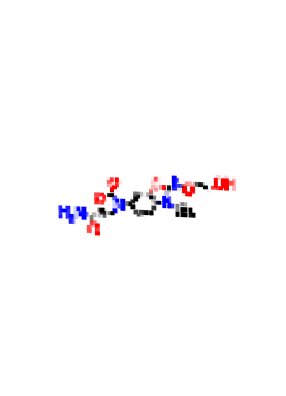 CC(C)(C)n1c(=NOCCO)oc2cc(N3C[C@H](C(N)=O)OC3=O)ccc21